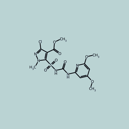 COC(=O)c1c(Cl)nn(C)c1S(=O)(=O)NC(=O)Nc1cc(OC)cc(OC)n1